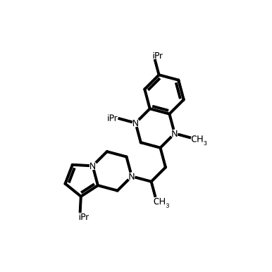 CC(C)c1ccc2c(c1)N(C(C)C)CC(CC(C)N1CCn3ccc(C(C)C)c3C1)N2C